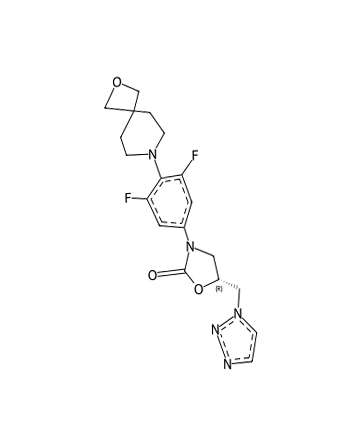 O=C1O[C@@H](Cn2ccnn2)CN1c1cc(F)c(N2CCC3(CC2)COC3)c(F)c1